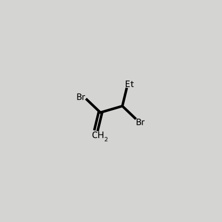 C=C(Br)C(Br)CC